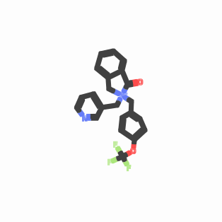 O=C1c2ccccc2C[N+]1(Cc1ccc(OC(F)(F)F)cc1)Cc1cccnc1